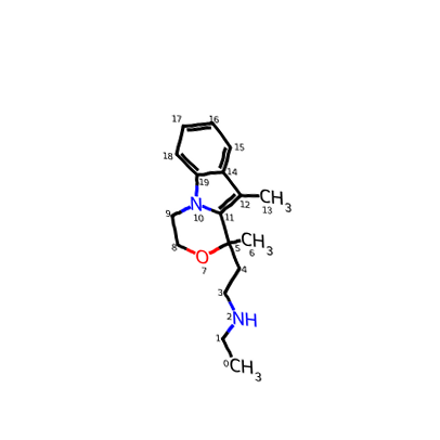 CCNCCC1(C)OCCn2c1c(C)c1ccccc12